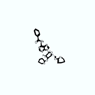 O=C(Nc1ncnc2c1ncn2[C@@H]1O[C@H](COC2CCCCO2)[C@@H](OC2CCCCO2)[C@H]1F)c1ccccc1